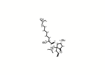 C=CC[C@]1(O[SiH](C)C)C(=O)C[C@@H](C(C)(C)C)[C@H]1C=C[C@H](CCCCCO[SiH](C)C)C(C)(C)C